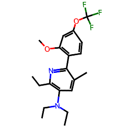 CCc1nc(-c2ccc(OC(F)(F)F)cc2OC)c(C)cc1N(CC)CC